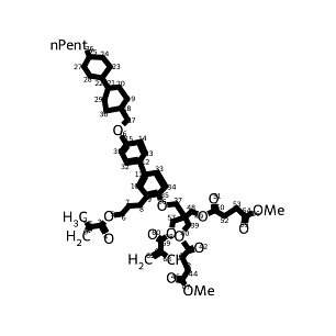 C=C(C)C(=O)OCCCc1cc(-c2ccc(OCC3CCC(C4CCC(CCCCC)CC4)CC3)cc2)ccc1OCC(COC(=O)CCC(=O)OC)(COC(=O)CCC(=O)OC)COC(=O)C(=C)C